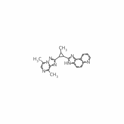 Cc1ncc(C)n2nc(C3C(C)C3c3nc4c(ccc5ncccc54)[nH]3)nc12